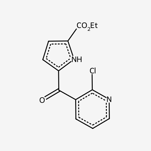 CCOC(=O)c1ccc(C(=O)c2cccnc2Cl)[nH]1